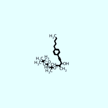 C=C(COC(C)(C)NC(=O)OC(C)(C)C)[C@@H](O)C#Cc1ccc(CCCCC)cc1